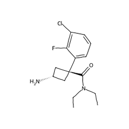 CCN(CC)C(=O)[C@]1(c2cccc(Cl)c2F)C[C@@H](N)C1